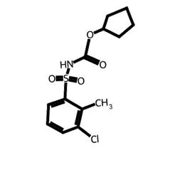 Cc1c(Cl)cccc1S(=O)(=O)NC(=O)OC1CCCC1